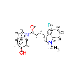 Cn1cc(CCC(=O)N2C3CC4CC2CC(O)(C4)C3)c2c(F)cccc21